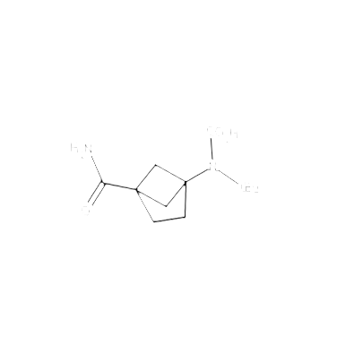 CC(C)(C)N(C(=O)O)C12CCC(C(N)=O)(C1)C2